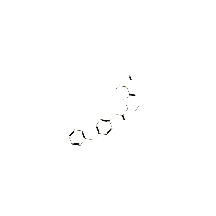 C=C[C@H](C(=O)N[C@@H](CS)C(=O)Nc1ccc(Oc2ccccc2)cc1)[C@@H](C)O